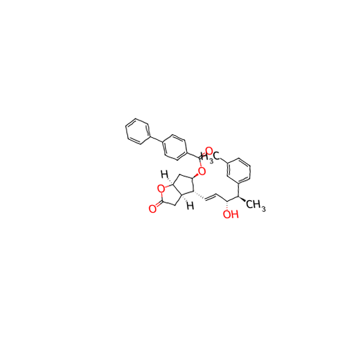 Cc1cccc([C@@H](C)[C@H](O)/C=C/[C@@H]2[C@H]3CC(=O)O[C@H]3C[C@H]2OC(=O)c2ccc(-c3ccccc3)cc2)c1